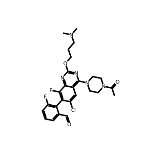 CC(=O)N1CCN(c2nc(OCCCN(C)C)nc3c(F)c(-c4c(F)cccc4C=O)c(Cl)cc23)CC1